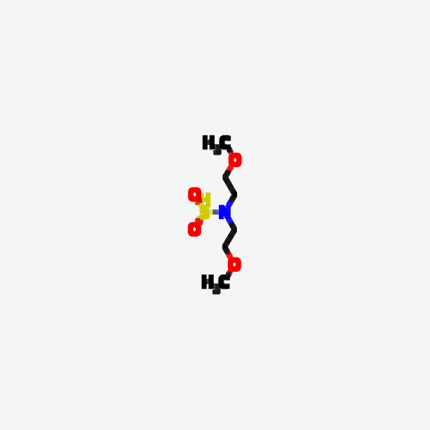 COCCN(CCOC)[SH](=O)=O